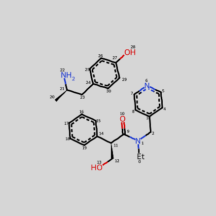 CCN(Cc1ccncc1)C(=O)[C@@H](CO)c1ccccc1.C[C@@H](N)Cc1ccc(O)cc1